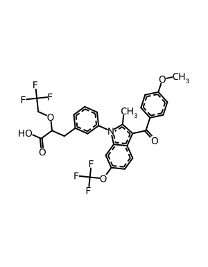 COc1ccc(C(=O)c2c(C)n(-c3cccc(CC(OCC(F)(F)F)C(=O)O)c3)c3cc(OC(F)(F)F)ccc23)cc1